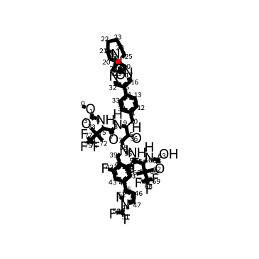 COC(=O)N[C@H](C(=O)N[C@@H](Cc1ccc(-c2cnc(N3CC4CCC(C3)N4C3COC3)nc2)cc1)[C@@H](O)CN(Cc1c(F)cc(-c2ccn(C(F)F)n2)cc1F)NC(=O)[C@@H](NC(=O)O)C(C)(C)C(F)(F)F)C(C)(C)C(F)(F)F